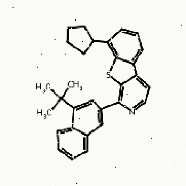 CC(C)(C)c1cc(-c2nccc3c2sc2c(C4CCCC4)cccc23)cc2ccccc12